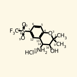 CC1(C)Oc2ccc(S(=O)(=O)C(F)(F)F)cc2C(N)C1O.Cl